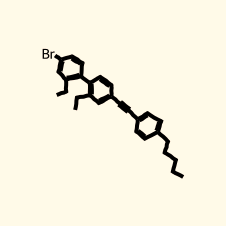 CCCCCc1ccc(C#Cc2ccc(-c3ccc(Br)cc3CC)c(CC)c2)cc1